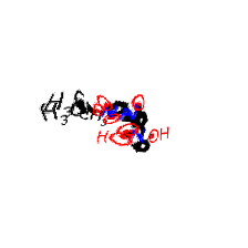 C[Si](C)(C)CCOCN1C(=O)CCC(N2Cc3cc(CN(C(=O)O)[C@H]4CCCC[C@H]4CO)ccc3C2=O)C1=O